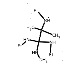 CCNC(C)(C)C(N[SiH3])(NCC)NCC